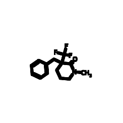 CN1CCCC(Cc2ccccc2)(C(F)(F)F)C1=O